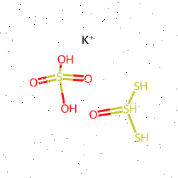 O=S(=O)(O)O.O=[SH-](S)S.[K+]